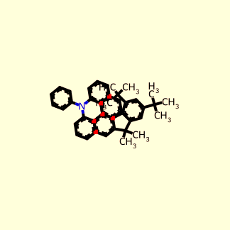 CC(C)(C)c1cc(C(C)(C)C)c2c(c1)C(C)(C)c1cccc(-c3ccccc3N(c3ccccc3)c3ccccc3-c3ccccc3)c1-2